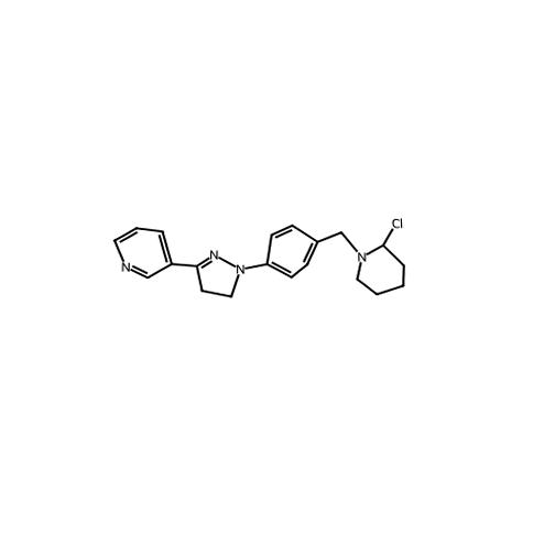 ClC1CCCCN1Cc1ccc(N2CCC(c3cccnc3)=N2)cc1